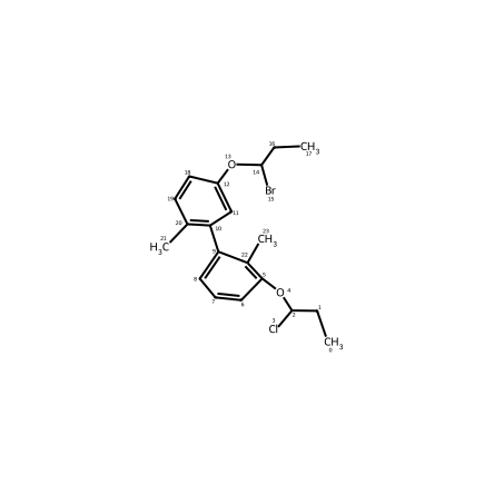 CCC(Cl)Oc1cccc(-c2cc(OC(Br)CC)ccc2C)c1C